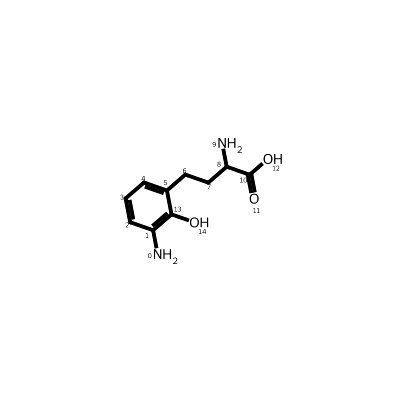 Nc1cccc(CCC(N)C(=O)O)c1O